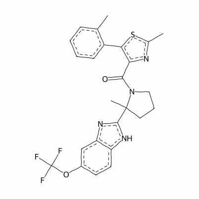 Cc1nc(C(=O)N2CCCC2(C)c2nc3cc(OC(F)(F)F)ccc3[nH]2)c(-c2ccccc2C)s1